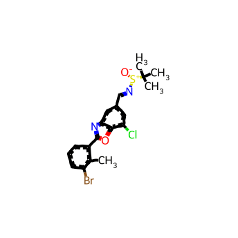 Cc1c(Br)cccc1-c1nc2cc(C=N[S+]([O-])C(C)(C)C)cc(Cl)c2o1